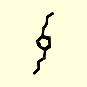 CCCOc1cnc(OCCC)nc1